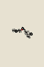 Cc1ccccc1N1C(=O)CS/C1=N\C(=S)N/N=C/c1cccc(-c2ncn(-c3ccc(OC(F)(F)F)cc3)n2)c1